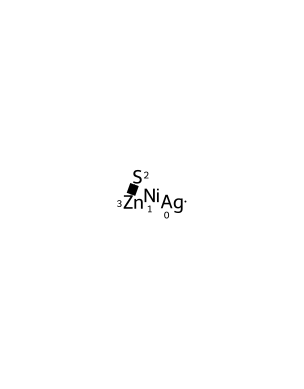 [Ag].[Ni].[S]=[Zn]